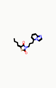 CCCC=C1SC(=O)N(CCCc2cccc3nccn23)C1=O